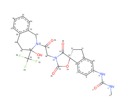 CNC(=O)Nc1ccc2c(c1)CC[C@@]21OC(=O)N(CC(=O)N2Cc3ccccc3CCC2(O)C(F)(F)F)C1=O